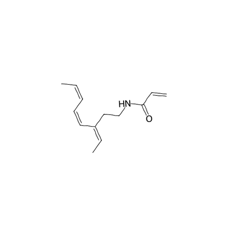 C=CC(=O)NCCC(/C=C\C=C/C)=C/C